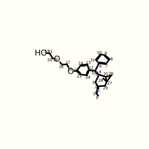 C/C=C1/C/C(=C(/c2ccccc2)c2ccc(OCCOCCO)cc2)C2CC2(C)C1